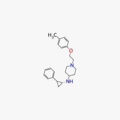 Cc1ccc(OCCN2CCC(N[C@@H]3CC3c3ccccc3)CC2)cc1